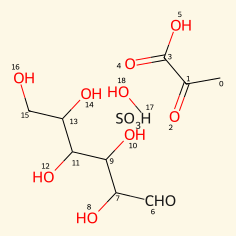 CC(=O)C(=O)O.O=CC(O)C(O)C(O)C(O)CO.O=S(=O)(O)O